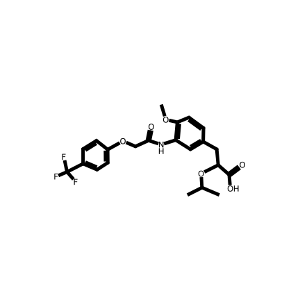 COc1ccc(CC(OC(C)C)C(=O)O)cc1NC(=O)COc1ccc(C(F)(F)F)cc1